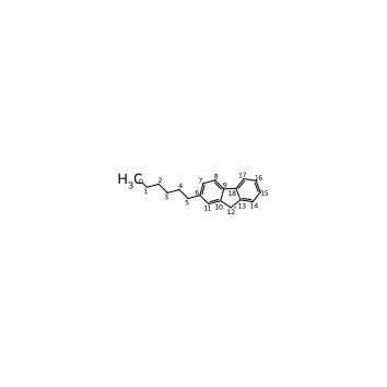 CCCCCCc1ccc2c(c1)[CH]c1ccccc1-2